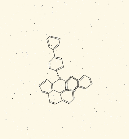 c1ccc(-c2ccc(N(c3ccccc3)c3cccc4ccc5ccc6c7ccccc7ccc6c5c34)cc2)cc1